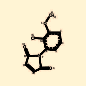 COc1cccc(N2C(=O)C=CC2=O)c1Cl